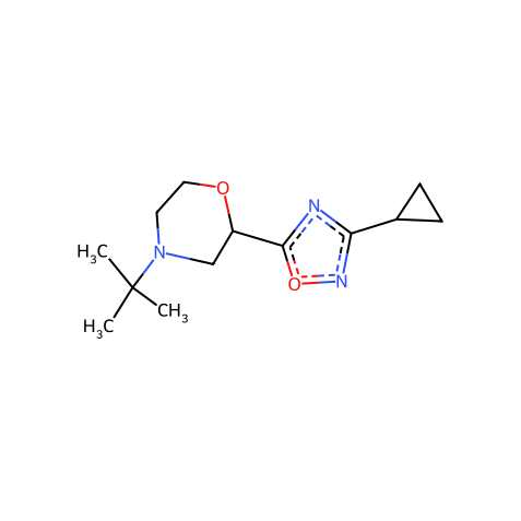 CC(C)(C)N1CCOC(c2nc(C3CC3)no2)C1